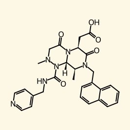 C[C@H]1[C@H]2N(C(=O)CN(C)N2C(=O)NCc2ccncc2)[C@@H](CC(=O)O)C(=O)N1Cc1cccc2ccccc12